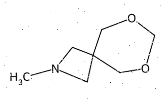 CN1CC2(COCOC2)C1